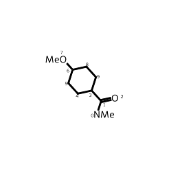 CNC(=O)C1CCC(OC)CC1